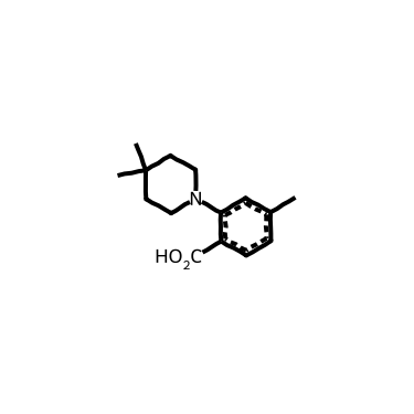 Cc1ccc(C(=O)O)c(N2CCC(C)(C)CC2)c1